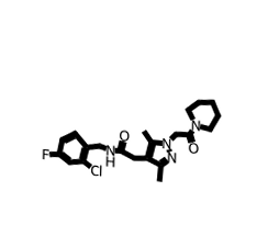 Cc1nn(CC(=O)N2CCCCC2)c(C)c1CC(=O)NCc1ccc(F)cc1Cl